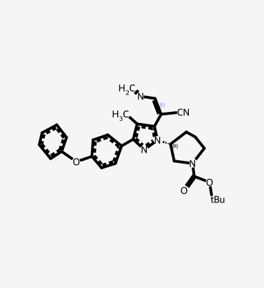 C=N/C=C(/C#N)c1c(C)c(-c2ccc(Oc3ccccc3)cc2)nn1[C@@H]1CCCN(C(=O)OC(C)(C)C)C1